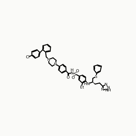 CCc1cc(S(=O)(=O)NC(=O)c2ccc(N3CCN(Cc4ccccc4-c4ccc(Cl)cc4)CC3)cc2)ccc1N[C@H](CCc1nn[nH]n1)CSc1ccccc1